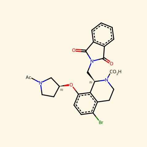 CC(=O)N1CC[C@H](Oc2ccc(Br)c3c2[C@@H](CN2C(=O)c4ccccc4C2=O)N(C(=O)O)CC3)C1